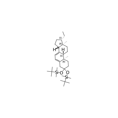 CC[C@H]1CC[C@H]2C3=CC=C4CC(O[Si](C)(C)C(C)(C)C)(O[Si](C)(C)C(C)(C)C)CC[C@]4(C)[C@H]3CC[C@]12C